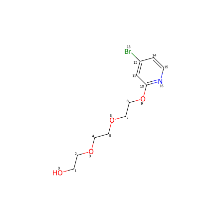 OCCOCCOCCOc1cc(Br)ccn1